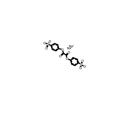 O=C(Oc1ccc(S(=O)(=O)[O-])cc1)C(=O)Oc1ccc(S(=O)(=O)[O-])cc1.[Na+].[Na+]